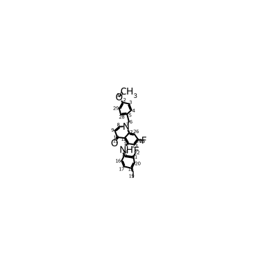 COc1ccc(Cn2ccc(=O)c3c(Nc4ccc(I)cc4F)cc(F)cc32)cc1